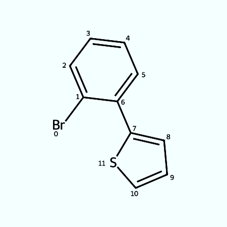 Brc1ccccc1-c1cccs1